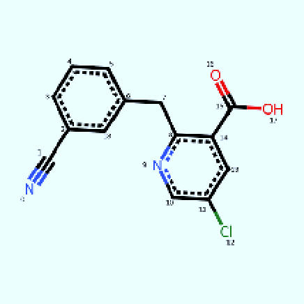 N#Cc1cccc(Cc2ncc(Cl)cc2C(=O)O)c1